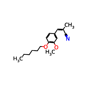 CCCCCCOc1ccc(/C=C(/C)C#N)cc1OC